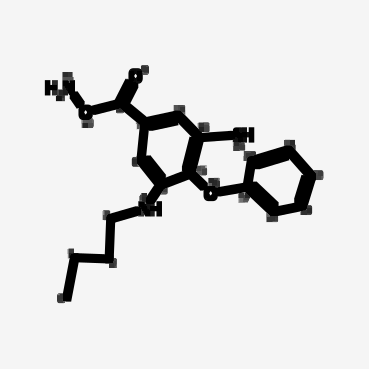 CCCCNc1cc(C(=O)ON)cc(S)c1Oc1ccccc1